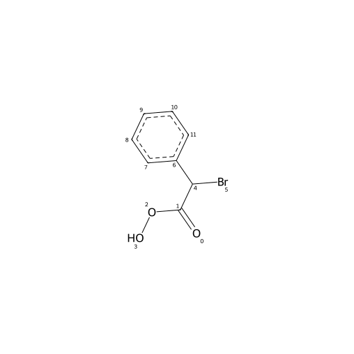 O=C(OO)C(Br)c1ccccc1